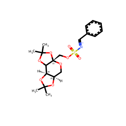 CC1(C)O[C@@H]2CO[C@@]3(COS(=O)(=O)/N=C/c4ccccc4)OC(C)(C)OC3[C@@H]2O1